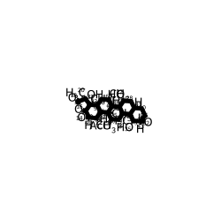 CC(=O)O[C@H]1CC2C([C@@H]3[C@@H](C)CC4[C@H]([C@H](C)[C@H]5O[C@]56OC(=O)[C@@](C)(O)[C@]46C)[C@@]13C)[C@@H](O)C[C@H]1C[C@@H]3O[C@@H]3[C@H](O)[C@]21C